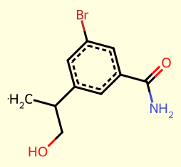 [CH2]C(CO)c1cc(Br)cc(C(N)=O)c1